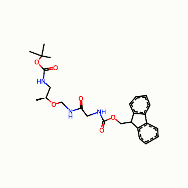 C[C@@H](CNC(=O)OC(C)(C)C)OCNC(=O)CNC(=O)OCC1c2ccccc2-c2ccccc21